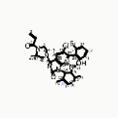 C=CC(=O)N1C[C@H](C)N(c2nc(=O)n(C(/C(C)=C\C)C(N=C)C(C)C)c3nc(-c4c(O)cccc4F)c(Cl)cc23)C[C@H]1C